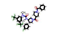 CN(C(=O)N(C)[C@H]1CN(C(=O)C2CCN(C(=O)c3ccccc3)CC2)C[C@@H]1c1ccc(F)cc1)c1cc(C(F)(F)F)cc(C(F)(F)F)c1